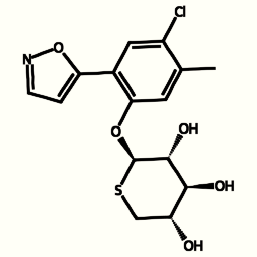 Cc1cc(O[C@@H]2SC[C@@H](O)[C@H](O)[C@H]2O)c(-c2ccno2)cc1Cl